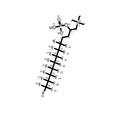 C[N+](C)(C)CC(CCC(F)(F)C(F)(F)C(F)(F)C(F)(F)C(F)(F)C(F)(F)C(F)(F)C(F)(F)F)OP(=O)([O-])O